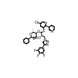 CO[C@@H](Cn1cc(-c2cc(F)c(F)c(F)c2)nn1)C(OC1COC(c2ccccc2)O[C@@H]1C)Sc1cc(Cl)cnc1-c1cccnc1